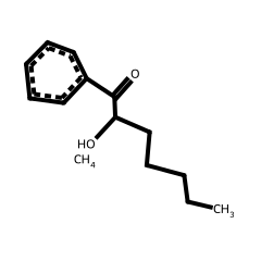 C.CCCCCC(O)C(=O)c1ccccc1